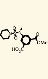 COC(=O)c1cc(C(=O)O)cc(N(C)S(=O)(=O)N2CCCCC2)c1